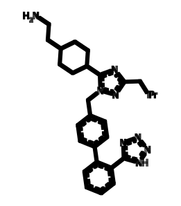 CC(C)Cc1nc(C2CCC(CCN)CC2)n(Cc2ccc(-c3ccccc3-c3nnn[nH]3)cc2)n1